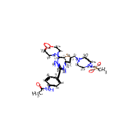 CC(=O)Nc1ccc(-c2nc(N3CCOCC3)c3sc(CN4CCN(S(C)(=O)=O)CC4)cc3n2)cc1